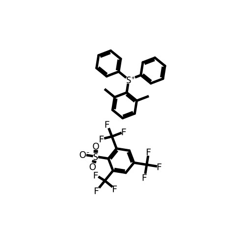 Cc1cccc(C)c1[S+](c1ccccc1)c1ccccc1.O=S(=O)([O-])c1c(C(F)(F)F)cc(C(F)(F)F)cc1C(F)(F)F